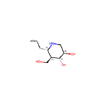 CCCCCCC[C@@H]1NC[C@@H](O)[C@H](O)[C@H]1CO